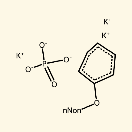 CCCCCCCCCOc1ccccc1.O=P([O-])([O-])[O-].[K+].[K+].[K+]